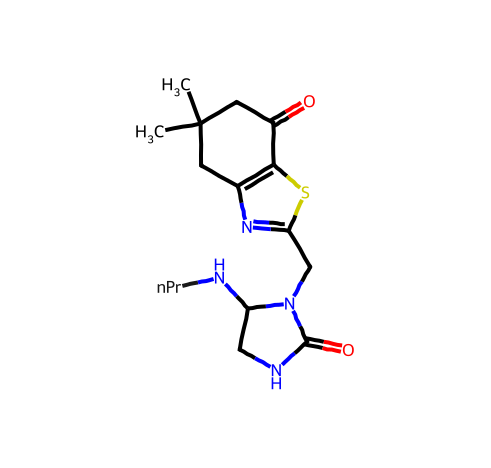 CCCNC1CNC(=O)N1Cc1nc2c(s1)C(=O)CC(C)(C)C2